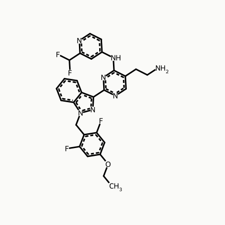 CCOc1cc(F)c(Cn2nc(-c3ncc(CCN)c(Nc4ccnc(C(F)F)c4)n3)c3ccccc32)c(F)c1